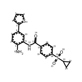 Nc1ccc(-c2cccs2)cc1NC(=O)c1ccc(S(=O)(=O)C2CC2)cc1